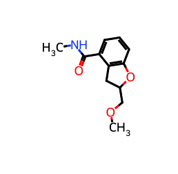 CNC(=O)c1cccc2c1CC(COC)O2